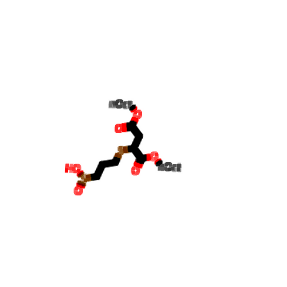 CCCCCCCCOC(=O)CC(SCCCS(=O)O)C(=O)OCCCCCCCC